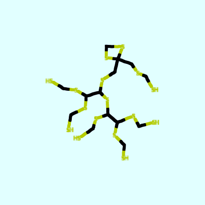 SCSCC1(CSC(SC(SCS)C(SCS)SCS)C(SCS)SCS)SCS1